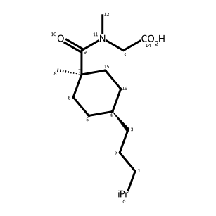 CC(C)CCC[C@H]1CC[C@@](C)(C(=O)N(C)CC(=O)O)CC1